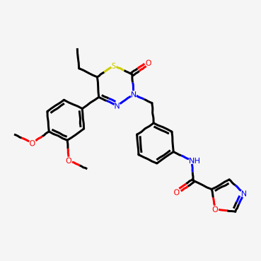 CCC1SC(=O)N(Cc2cccc(NC(=O)c3cnco3)c2)N=C1c1ccc(OC)c(OC)c1